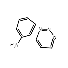 Nc1ccccc1.c1cnnnc1